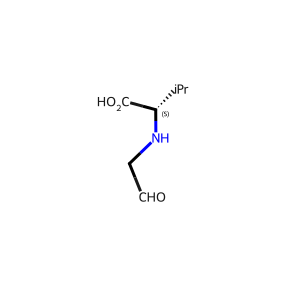 CC(C)[C@H](NCC=O)C(=O)O